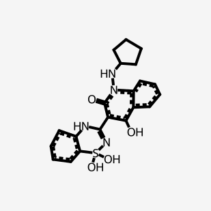 O=c1c(C2=NS(O)(O)c3ccccc3N2)c(O)c2ccccc2n1NC1CCCC1